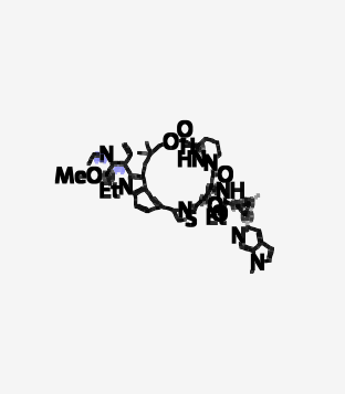 C=C/C(=C(\N=C/C)[C@H](C)OC)c1c2c3cc(ccc3n1CC)C1CSC(=N1)[C@@H](OCC)[C@H](NC(=O)[C@H]1[C@H](C)[C@@H]1c1cc3ccn(C)c3cn1)C(=O)N1CCC[C@H](N1)C(=O)OCC(C)(C)C2